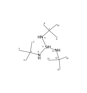 CC(C)(C)N[SiH](NC(C)(C)C)NC(C)(C)C